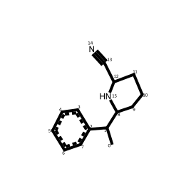 CC(c1ccccc1)C1CCCC(C#N)N1